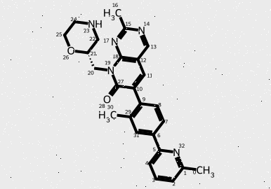 Cc1cccc(-c2ccc(-c3cc4cnc(C)nc4n(C[C@H]4CNCCO4)c3=O)c(C)c2)n1